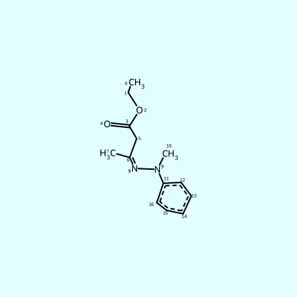 CCOC(=O)CC(C)=NN(C)c1ccccc1